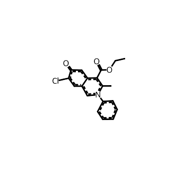 CCOC(=O)c1c2cc(=O)c(Cl)cc-2cn(-c2ccccc2)c1C